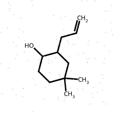 C=CCC1CC(C)(C)CCC1O